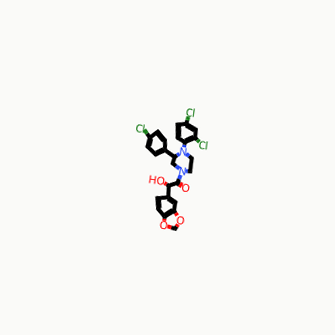 O=C(C(O)c1ccc2c(c1)OCO2)N1CCN(c2ccc(Cl)cc2Cl)C(c2ccc(Cl)cc2)C1